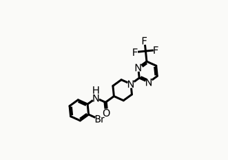 O=C(Nc1ccccc1Br)C1CCN(c2nccc(C(F)(F)F)n2)CC1